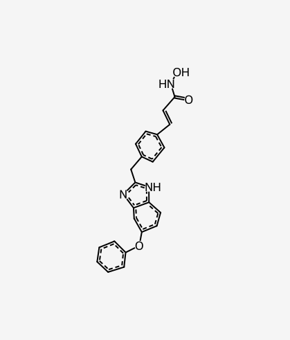 O=C(/C=C/c1ccc(Cc2nc3cc(Oc4ccccc4)ccc3[nH]2)cc1)NO